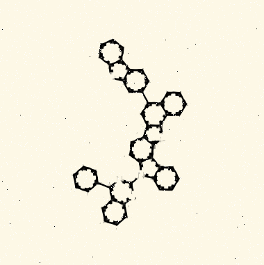 c1ccc(-c2nc(-n3c4ccccc4c4c5oc6c7ccccc7c(-c7ccc8c(c7)sc7ccccc78)cc6c5ccc43)nc3ccccc23)cc1